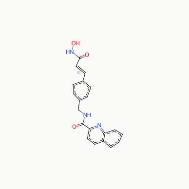 O=C(/C=C/c1ccc(CNC(=O)c2ccc3ccccc3n2)cc1)NO